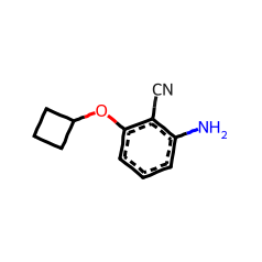 N#Cc1c(N)cccc1OC1CCC1